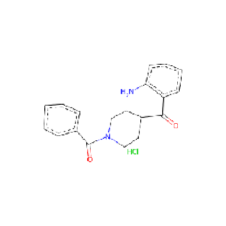 Cl.Nc1ccccc1C(=O)C1CCN(C(=O)c2ccccc2)CC1